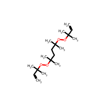 C=CC(C)(C)OOC(C)(C)CCC(C)(C)OOC(C)(C)C=C